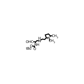 CC1CCC(CCNCC(C=O)NC(=O)OC(C)(C)C)N1C